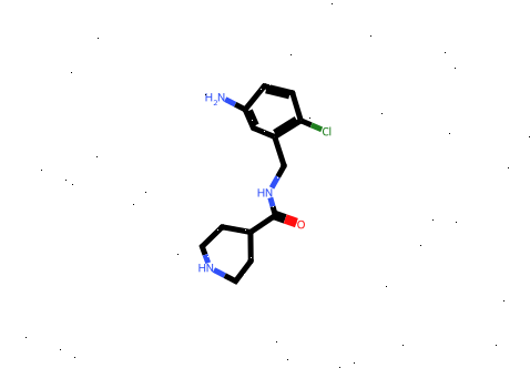 Nc1ccc(Cl)c(CNC(=O)C2CCNCC2)c1